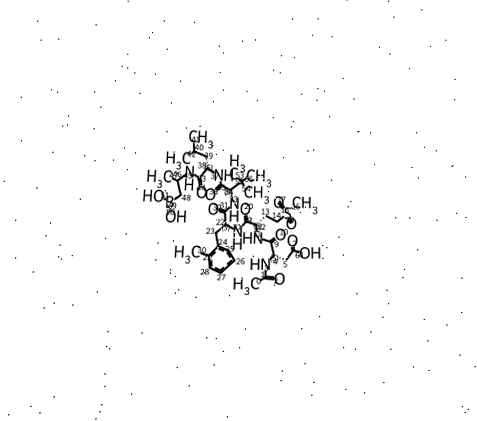 CC(=O)N[C@@H](CC(=O)O)C(=O)N[C@@H](CCS(C)(=O)=O)C(=O)N[C@@H](Cc1ccccc1C)C(=O)N[C@H](C(=O)N[C@@H](CC(C)C)C(=O)NC(C)CB(O)O)C(C)(C)C